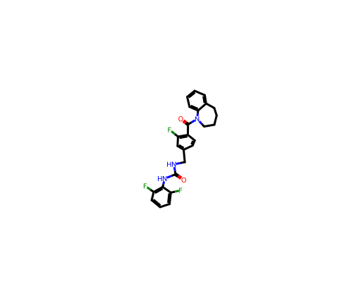 O=C(NCc1ccc(C(=O)N2CCCCc3ccccc32)c(F)c1)Nc1c(F)cccc1F